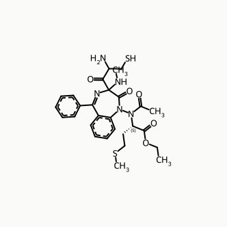 CCOC(=O)[C@H](CCSC)N(C(C)=O)N1C(=O)C(NC)(C(=O)C(N)CS)N=C(c2ccccc2)c2ccccc21